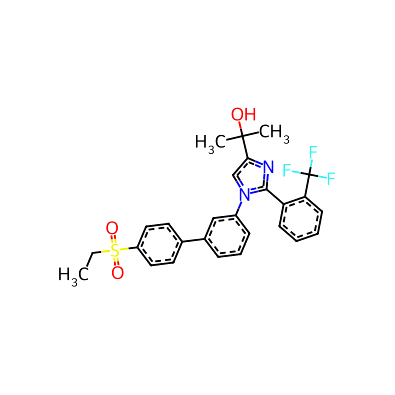 CCS(=O)(=O)c1ccc(-c2cccc(-n3cc(C(C)(C)O)nc3-c3ccccc3C(F)(F)F)c2)cc1